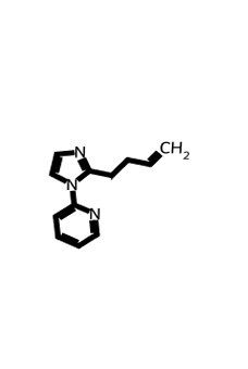 C=CC[CH]c1nccn1-c1ccccn1